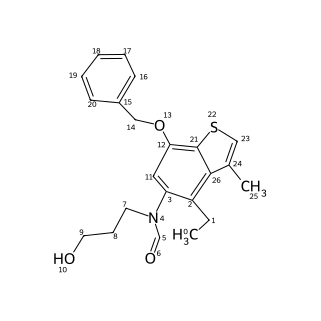 CCc1c(N(C=O)CCCO)cc(OCc2ccccc2)c2scc(C)c12